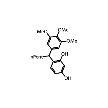 CCCCCC(c1cc(OC)c(OC)c(OC)c1)c1ccc(O)cc1O